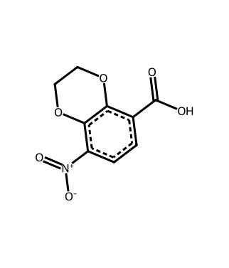 O=C(O)c1ccc([N+](=O)[O-])c2c1OCCO2